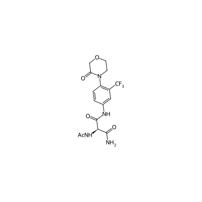 CC(=O)N[C@H](C(N)=O)C(=O)Nc1ccc(N2CCOCC2=O)c(C(F)(F)F)c1